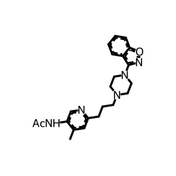 CC(=O)Nc1cnc(CCCN2CCN(c3noc4ccccc34)CC2)cc1C